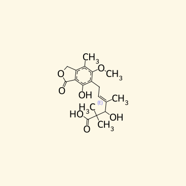 COc1c(C)c2c(c(O)c1C/C=C(\C)C(O)C(C)(C)C(=O)O)C(=O)OC2